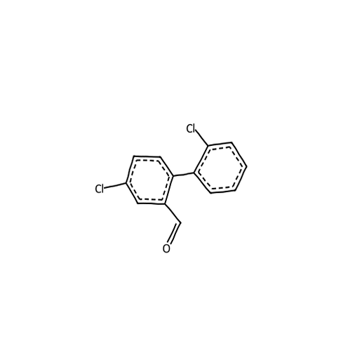 O=Cc1cc(Cl)ccc1-c1ccccc1Cl